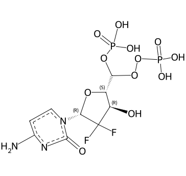 Nc1ccn([C@@H]2O[C@H](C(OOP(=O)(O)O)OP(=O)(O)O)[C@@H](O)C2(F)F)c(=O)n1